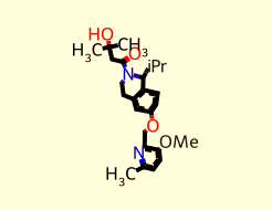 COc1ccc(C)nc1COc1ccc2c(c1)CCN(C(=O)CC(C)(C)O)C2C(C)C